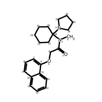 CN(C(=O)COc1cccc2ccccc12)C1(N2CCCC2)CCCCC1